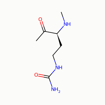 CN[C@@H](CCNC(N)=O)C(C)=O